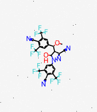 COC(c1cc(C(F)(F)F)c(C#N)c(C(F)(F)F)c1)C1C(C#N)=NN(c2cc(C(F)(F)F)c(C#N)c(C(F)(F)F)c2)C1O